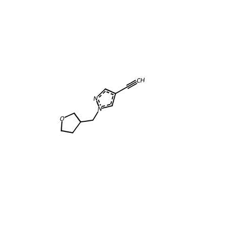 C#Cc1cnn(CC2CCOC2)c1